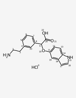 Cl.NCCc1cccc(C(Oc2ccc3[nH]ccc3c2)C(=O)O)c1